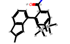 CC1=Cc2c(cccc2-c2c(C([NH])=O)cc3c(C)c2[Si](C)(C)[Si]3(C)C)C1